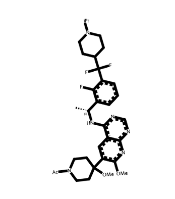 COc1nc2ncnc(N[C@H](C)c3cccc(C(F)(F)C4CCN(C(C)C)CC4)c3F)c2cc1C1(OC)CCN(C(C)=O)CC1